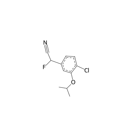 CC(C)Oc1cc(C(F)C#N)ccc1Cl